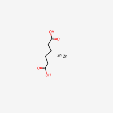 O=C(O)CCCCC(=O)O.[Zn].[Zn]